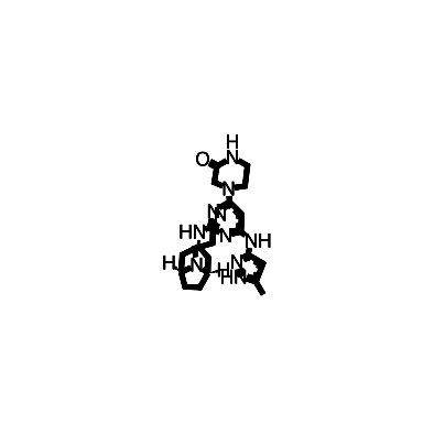 Cc1cc(Nc2cc(N3CCNC(=O)C3)nc(N[C@@H]3C[C@H]4CC[C@@H](C3)N4CCC#N)n2)n[nH]1